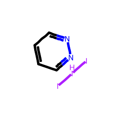 I[IH]I.c1ccnnc1